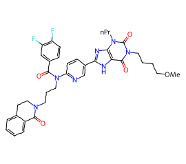 CCCn1c(=O)n(CCCCOC)c(=O)c2[nH]c(-c3ccc(N(CCCN4CCc5ccccc5C4=O)C(=O)c4ccc(F)c(F)c4)nc3)nc21